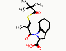 CC(CSC(=O)C(C)(C)C)C(=O)N1C(C(=O)O)CC2CCCCC21